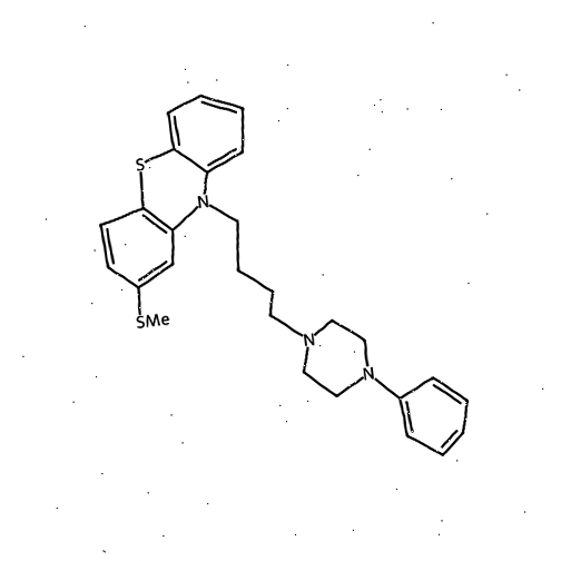 CSc1ccc2c(c1)N(CCCCN1CCN(c3ccccc3)CC1)c1ccccc1S2